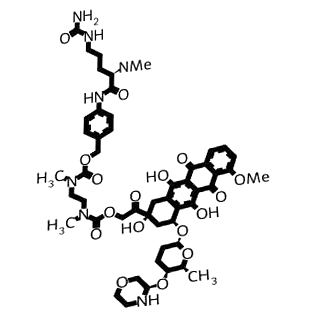 CN[C@@H](CCCNC(N)=O)C(=O)Nc1ccc(COC(=O)N(C)CCN(C)C(=O)OCC(=O)[C@]2(O)Cc3c(O)c4c(c(O)c3[C@@H](O[C@H]3CC[C@H](O[C@@H]5COCCN5)[C@H](C)O3)C2)C(=O)c2c(OC)cccc2C4=O)cc1